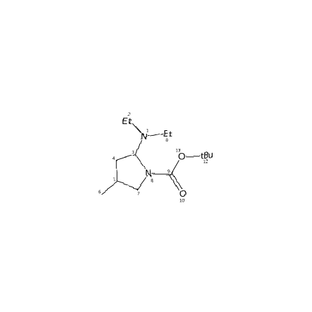 CCN(CC)C1CC(C)CN1C(=O)OC(C)(C)C